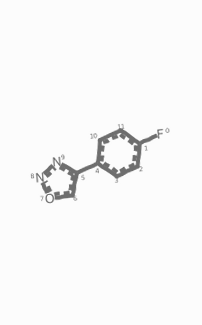 Fc1ccc(-c2conn2)cc1